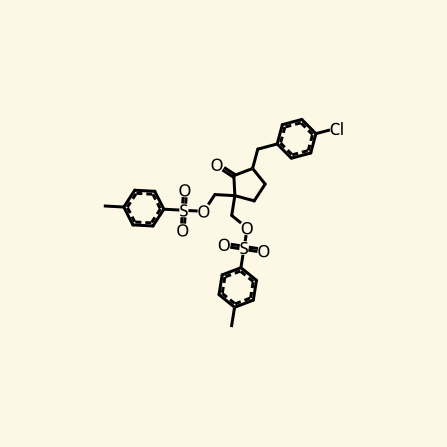 Cc1ccc(S(=O)(=O)OCC2(COS(=O)(=O)c3ccc(C)cc3)CCC(Cc3ccc(Cl)cc3)C2=O)cc1